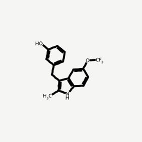 Cc1[nH]c2ccc(OC(F)(F)F)cc2c1Cc1cccc(O)c1